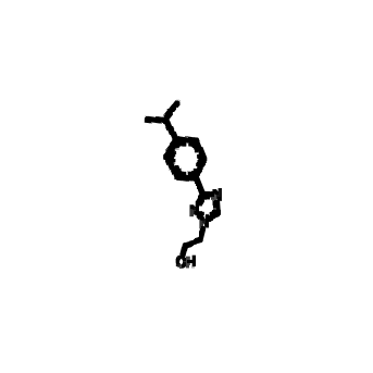 CC(C)c1ccc(-c2ncn(CCO)n2)cc1